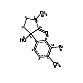 Cc1ccc(C2(O)CCN(C)C2=O)cc1Br